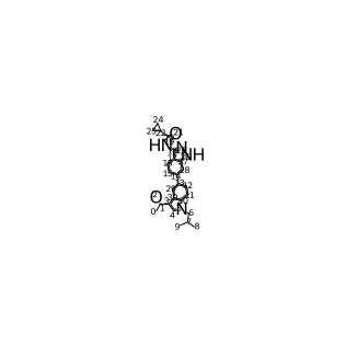 CC(=O)c1cn(CC(C)C)c2ccc(-c3ccc4c(NC(=O)C5CC5)n[nH]c4c3)cc12